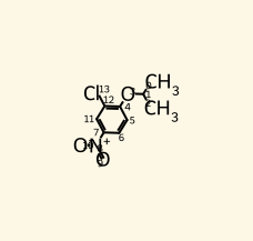 CC(C)Oc1ccc([N+](=O)[O-])cc1Cl